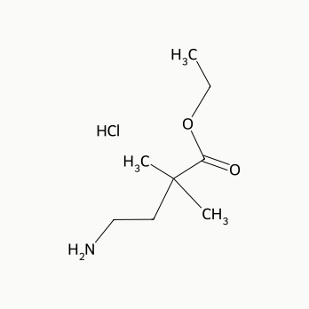 CCOC(=O)C(C)(C)CCN.Cl